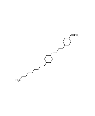 C=CC1CCC(CCCC[C@H]2CC[C@H](CCCCCCCCC)CC2)CC1